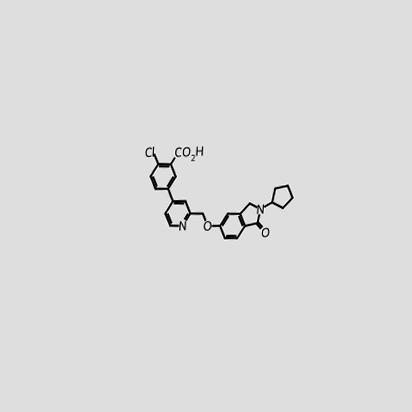 O=C(O)c1cc(-c2ccnc(COc3ccc4c(c3)CN(C3CCCC3)C4=O)c2)ccc1Cl